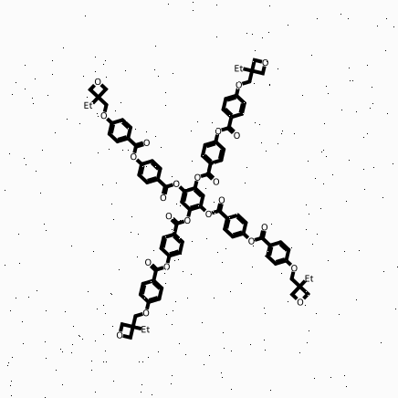 CCC1(COc2ccc(C(=O)Oc3ccc(C(=O)Oc4cc(OC(=O)c5ccc(OC(=O)c6ccc(OCC7(CC)COC7)cc6)cc5)c(OC(=O)c5ccc(OC(=O)c6ccc(OCC7(CC)COC7)cc6)cc5)cc4OC(=O)c4ccc(OC(=O)c5ccc(OCC6(CC)COC6)cc5)cc4)cc3)cc2)COC1